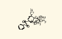 CC1C=CC(S(=O)(=O)c2ccccc2)=CC(C)C1O[Si](C)(C)C(C)(C)C